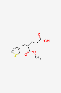 COC(=O)C(=Cc1ccsc1)CCC(=O)O